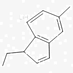 CC[C]1C=Cc2cc(C)ccc21.[LiH]